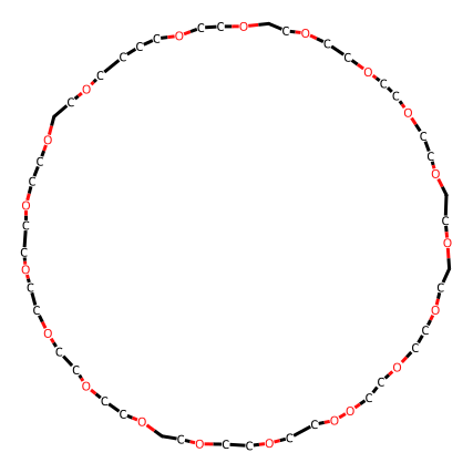 C1CCOCCOCCOCCOCCOCCOCCOCCOCCOCCOOCCOCCOCCOCCOCCOCCOCCOCCOCCOC1